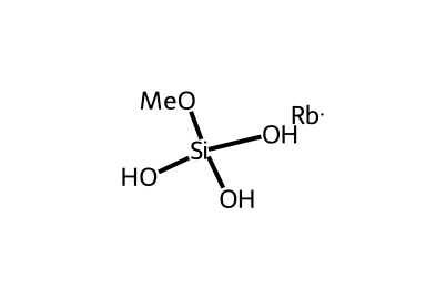 CO[Si](O)(O)O.[Rb]